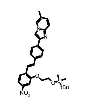 Cc1ccc2nc(-c3ccc(C=Cc4ccc([N+](=O)[O-])cc4OCCO[Si](C)(C)C(C)(C)C)cc3)cn2c1